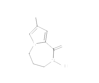 CN1CCCn2cc(I)cc2C1=O